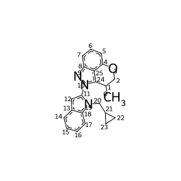 CC1COc2cccc3nn(-c4cc5ccccc5n4CC4CC4)c1c23